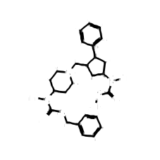 CCCN(C(=O)NCc1ccccc1)C1CCN(CC2CC(N(C)C(=O)OC(C)(C)C)CC2c2ccccc2)CC1